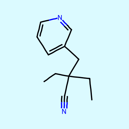 CCC(C#N)(CC)Cc1cccnc1